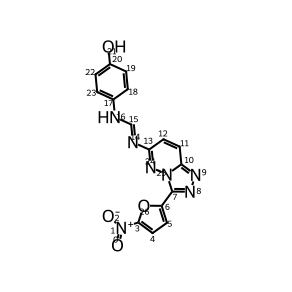 O=[N+]([O-])c1ccc(-c2nnc3ccc(N=CNc4ccc(O)cc4)nn23)o1